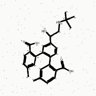 Cc1ccc(C(=O)O)c(-c2ccc(C(O)CNC(C)(C)C)cc2-c2cc(C)ccc2C(=O)O)c1